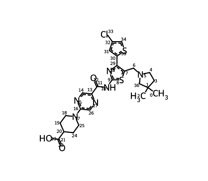 CC1(C)CCN(Cc2sc(NC(=O)c3cnc(N4CCC(C(=O)O)CC4)cn3)nc2-c2cc(Cl)cs2)C1